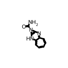 NC(=O)n1c2nc3cccccc-3[nH]c1=2